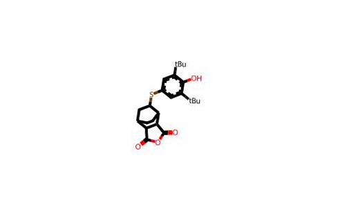 CC(C)(C)c1cc(SC2CC3CCC2C2C(=O)OC(=O)C32)cc(C(C)(C)C)c1O